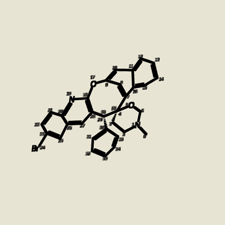 CN1CC[C@@]2(OC1)c1cc(cc3ccccc13)Oc1nc3ccc(Br)cc3cc1[C@H]2c1ccccc1